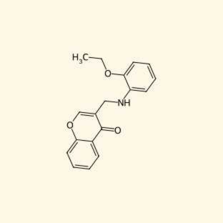 CCOc1ccccc1NCc1coc2ccccc2c1=O